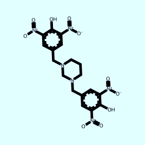 O=[N+]([O-])c1cc(CN2CCCN(Cc3cc([N+](=O)[O-])c(O)c([N+](=O)[O-])c3)C2)cc([N+](=O)[O-])c1O